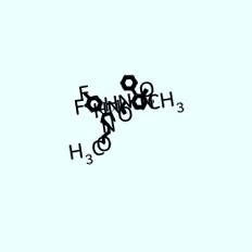 COCCN1C[C@@H](NC(=O)Nc2ccn(C)c(=O)c2-c2ccccc2)[C@H](c2ccc(F)c(F)c2)C1